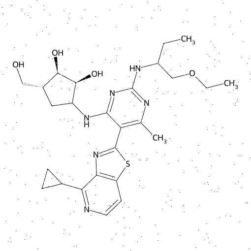 CCOCC(CC)Nc1nc(C)c(-c2nc3c(C4CC4)nccc3s2)c(NC2C[C@H](CO)[C@@H](O)[C@H]2O)n1